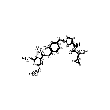 CCCCOc1nc(N)c2[nH]nc(Cc3ccc(CN4CCC(NC(=O)C(O)C5CC5)C4)cc3OC)c2n1